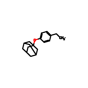 [CH2]Cc1ccc(OC23CC4CC(CC(C4)C2)C3)cc1